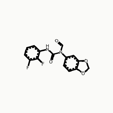 O=CN(C(=O)Nc1cccc(F)c1F)c1ccc2c(c1)OCO2